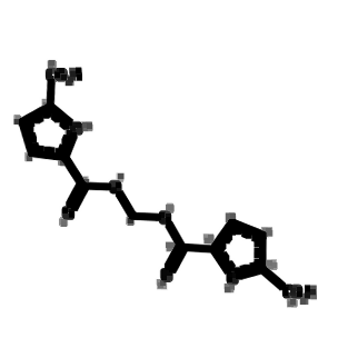 O=C(O)c1ccc(C(=O)OCOC(=O)c2ccc(C(=O)O)o2)o1